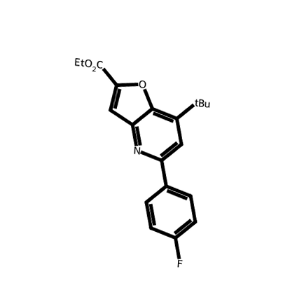 CCOC(=O)c1cc2nc(-c3ccc(F)cc3)cc(C(C)(C)C)c2o1